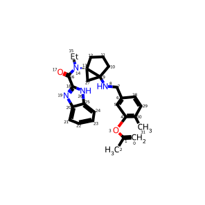 C=C(C)Oc1cc(CNC23CCC[C@]2(N(CC)C(=O)c2nc4ccccc4[nH]2)C3)ccc1C